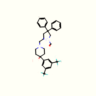 O=CNCC(CCCN1CCC(O)(c2cc(C(F)(F)F)cc(C(F)(F)F)c2)CC1)(c1ccccc1)c1ccccc1